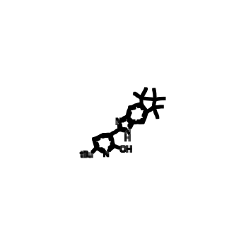 CC(C)(C)c1ccc(-c2nc3cc4c(cc3[nH]2)C(C)(C)C(C)(C)C4(C)C)c(O)n1